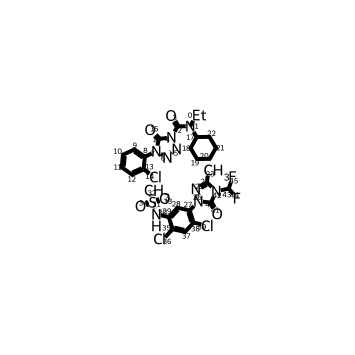 CCN(C(=O)n1nnn(-c2ccccc2Cl)c1=O)C1CCCCC1.Cc1nn(-c2cc(NS(C)(=O)=O)c(Cl)cc2Cl)c(=O)n1C(F)F